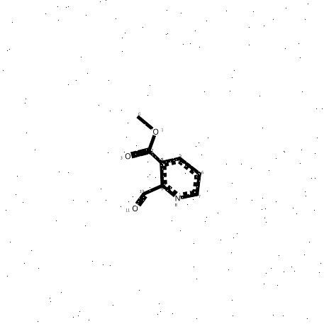 COC(=O)c1cccnc1C=O